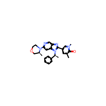 Cc1cc(-c2nc3cnc(N4CCOC[C@@H]4C)cc3n2[C@@H](C)c2ccccc2)cn(C)c1=O